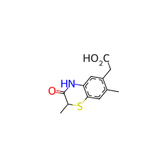 Cc1cc2c(cc1CC(=O)O)NC(=O)C(C)S2